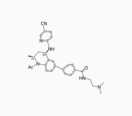 CC(=O)N1c2ccc(-c3ccc(C(=O)NCCN(C)C)cc3)cc2[C@H](Nc2ccc(C#N)cn2)C[C@@H]1C